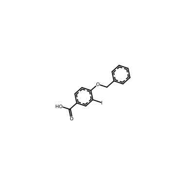 O=C(O)c1ccc(OCc2ccccc2)c(I)c1